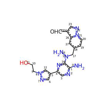 Nc1ncc(-c2cnn(CCO)c2)nc1N(N)Cc1ccn2ncc(C=O)c2c1